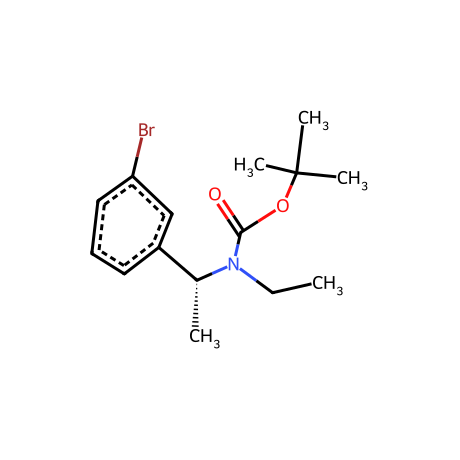 CCN(C(=O)OC(C)(C)C)[C@H](C)c1cccc(Br)c1